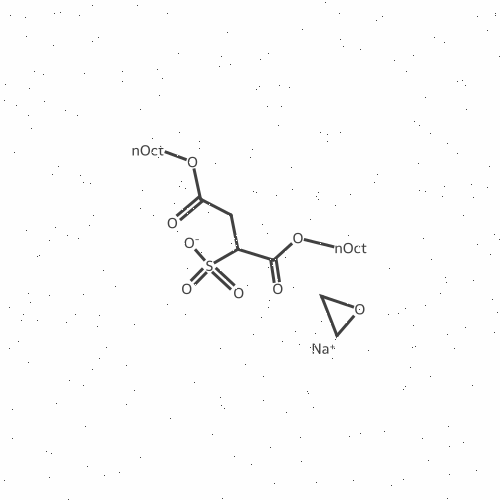 C1CO1.CCCCCCCCOC(=O)CC(C(=O)OCCCCCCCC)S(=O)(=O)[O-].[Na+]